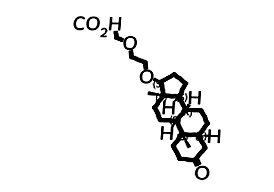 C[C@]12CCC(=O)C[C@@H]1CC[C@@H]1[C@@H]2CC[C@]2(C)[C@@H](OCCOCC(=O)O)CC[C@@H]12